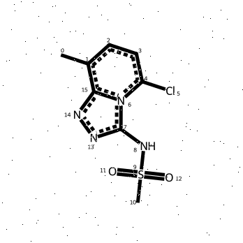 Cc1ccc(Cl)n2c(NS(C)(=O)=O)nnc12